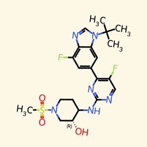 CC(C)(C)n1cnc2c(F)cc(-c3nc(NC4CCN(S(C)(=O)=O)C[C@H]4O)ncc3F)cc21